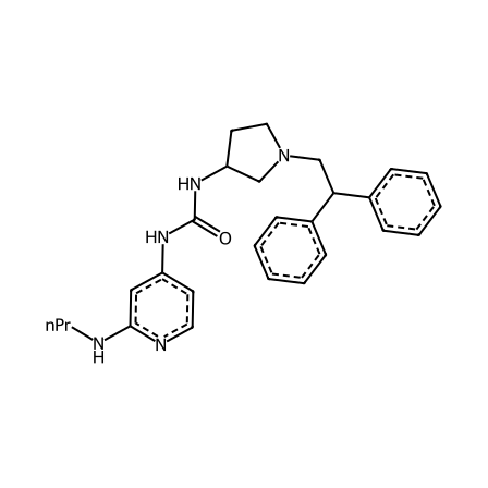 CCCNc1cc(NC(=O)NC2CCN(CC(c3ccccc3)c3ccccc3)C2)ccn1